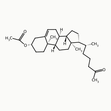 CC(=O)CCC[C@@H](C)[C@H]1CC[C@H]2[C@@H]3CC=C4C[C@@H](OC(C)=O)CC[C@]4(C)[C@H]3CC[C@]12C